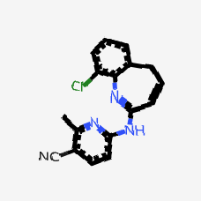 Cc1nc(NC2=Nc3c(Cl)cccc3CC=C2)ccc1C#N